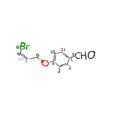 O=Cc1ccc(OC/C=C\Br)cc1